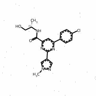 C[C@@H](CO)NC(=O)c1cc(-c2ccc(Cl)cc2)nc(-c2cnn(C)c2)n1